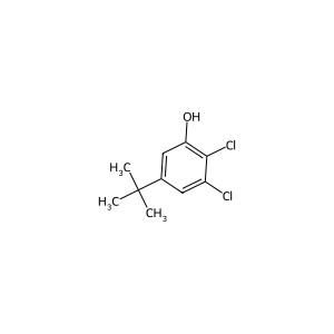 CC(C)(C)c1cc(O)c(Cl)c(Cl)c1